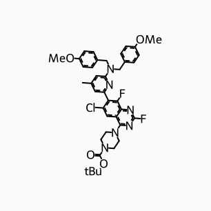 COc1ccc(CN(Cc2ccc(OC)cc2)c2cc(C)cc(-c3c(Cl)cc4c(N5CCN(C(=O)OC(C)(C)C)CC5)nc(F)nc4c3F)n2)cc1